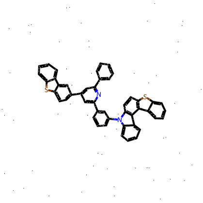 c1ccc(-c2cc(-c3ccc4sc5ccccc5c4c3)cc(-c3cccc(-n4c5ccccc5c5c6c(ccc54)sc4ccccc46)c3)n2)cc1